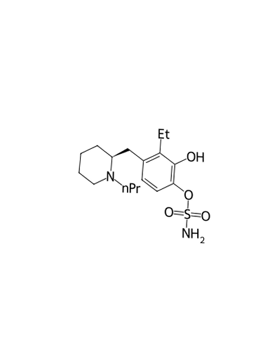 CCCN1CCCC[C@H]1Cc1ccc(OS(N)(=O)=O)c(O)c1CC